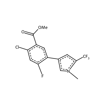 COC(=O)c1cc(-c2cc(C(F)(F)F)n(C)c2)c(F)cc1Cl